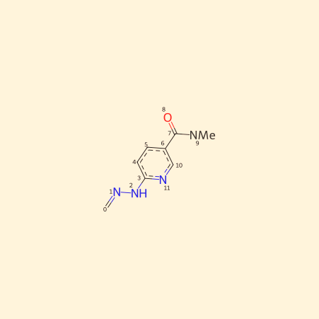 C=NNc1ccc(C(=O)NC)cn1